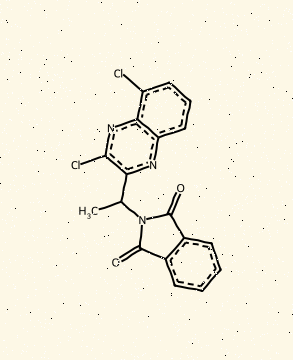 CC(c1nc2cccc(Cl)c2nc1Cl)N1C(=O)c2ccccc2C1=O